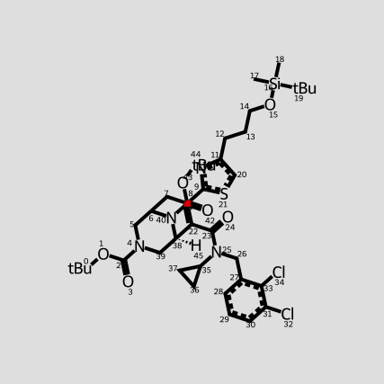 CC(C)(C)OC(=O)N1CC2CC(c3nc(CCCO[Si](C)(C)C(C)(C)C)cs3)=C(C(=O)N(Cc3cccc(Cl)c3Cl)C3CC3)[C@@H](C1)N2C(=O)OC(C)(C)C